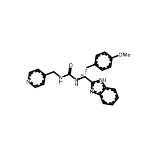 COc1ccc(C[C@@H](NC(=O)NCc2ccncc2)c2nc3ccccc3[nH]2)cc1